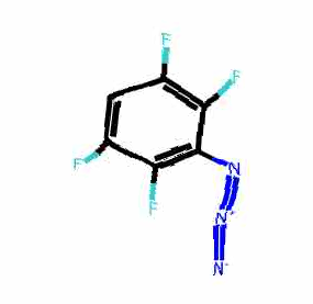 [N-]=[N+]=Nc1c(F)c(F)cc(F)c1F